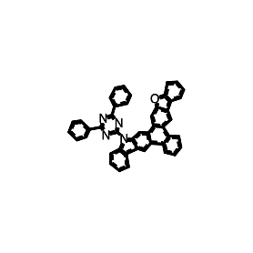 c1ccc(-c2nc(-c3ccccc3)nc(-n3c4ccccc4c4cc5c6ccccc6c6cc7c(cc6c5cc43)oc3ccccc37)n2)cc1